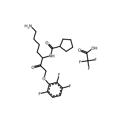 NCCCCC(NC(=O)C1CCCC1)C(=O)COc1c(F)ccc(F)c1F.O=C(O)C(F)(F)F